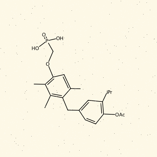 CC(=O)Oc1ccc(Cc2c(C)cc(OCP(=O)(O)O)c(C)c2C)cc1C(C)C